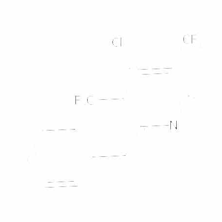 FC(F)(F)c1cnc([CH]c2ccccc2)c(C(F)(F)F)c1Cl